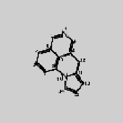 c1cc2c3c(cncc3c1)Cc1cccn1-2